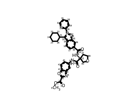 COC(=O)c1nc2cc(NC(=O)[C@]3(NC(=O)c4ccc5c(C6CCCCC6)n(-c6ccccn6)nc5c4)CCOC3)ccc2o1